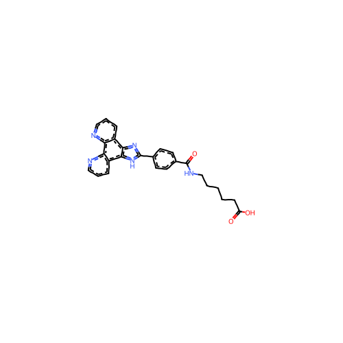 O=C(O)CCCCCNC(=O)c1ccc(-c2nc3c4cccnc4c4ncccc4c3[nH]2)cc1